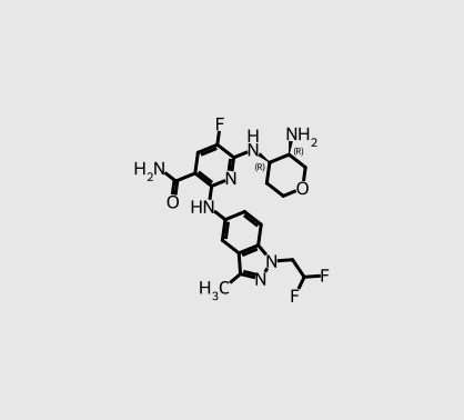 Cc1nn(CC(F)F)c2ccc(Nc3nc(N[C@@H]4CCOC[C@@H]4N)c(F)cc3C(N)=O)cc12